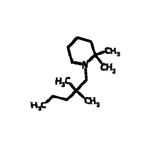 CCCC(C)(C)CN1CCCCC1(C)C